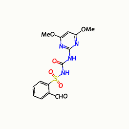 COc1cc(OC)nc(NC(=O)NS(=O)(=O)c2ccccc2C=O)n1